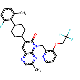 Cc1cnc2cc(C3CCC(c4c(C)cccc4F)CC3)c(=O)n(Cc3ncccc3OCC(F)(F)F)c2n1